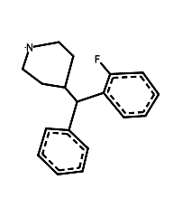 Fc1ccccc1C(c1ccccc1)C1CC[N]CC1